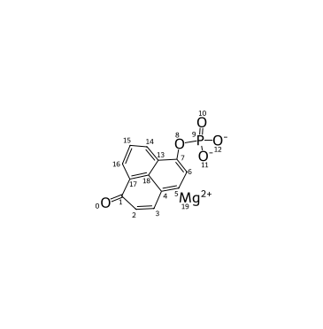 O=C1C=Cc2ccc(OP(=O)([O-])[O-])c3cccc1c23.[Mg+2]